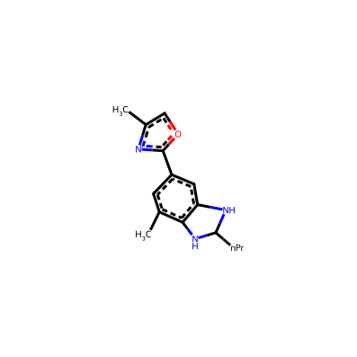 CCCC1Nc2cc(-c3nc(C)co3)cc(C)c2N1